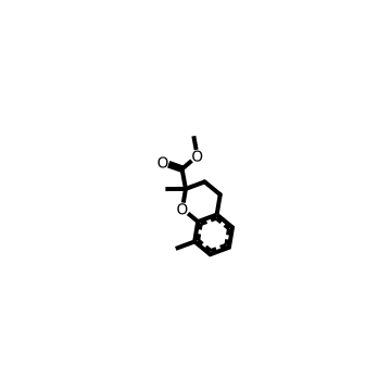 COC(=O)C1(C)CCc2cccc(C)c2O1